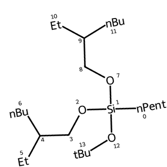 CCCCC[Si](OCC(CC)CCCC)(OCC(CC)CCCC)OC(C)(C)C